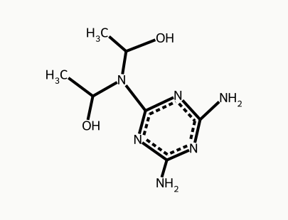 CC(O)N(c1nc(N)nc(N)n1)C(C)O